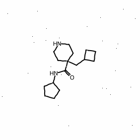 O=C(NC1CCCC1)C1(CC2CCC2)CCNCC1